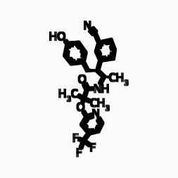 C[C@H](NC(=O)C(C)(C)Oc1cc(C(F)(F)F)ccn1)[C@@H](Cc1ccc(O)cc1)c1cccc(C#N)c1